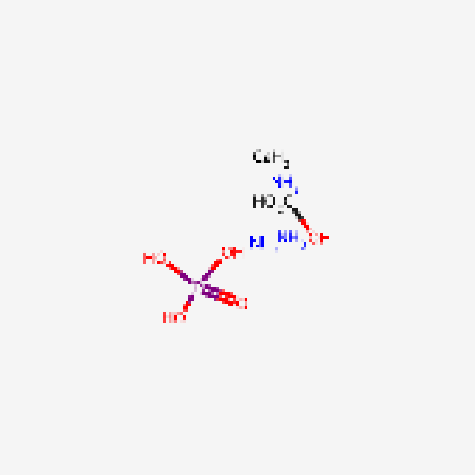 N.N.N.O=C(O)O.O=P(O)(O)O.[CaH2]